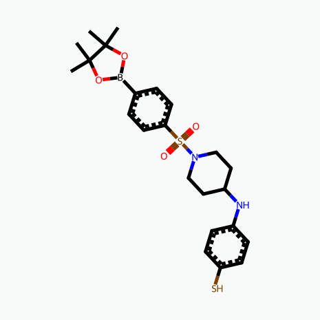 CC1(C)OB(c2ccc(S(=O)(=O)N3CCC(Nc4ccc(S)cc4)CC3)cc2)OC1(C)C